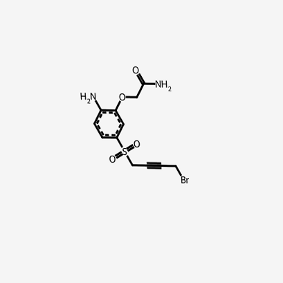 NC(=O)COc1cc(S(=O)(=O)CC#CCBr)ccc1N